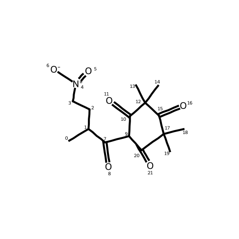 CC(CC[N+](=O)[O-])C(=O)C1C(=O)C(C)(C)C(=O)C(C)(C)C1=O